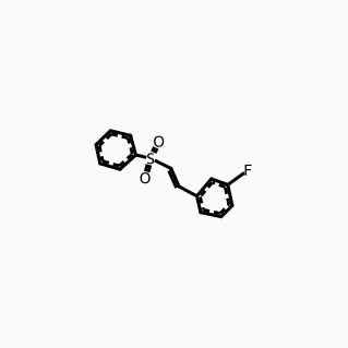 O=S(=O)(C=Cc1cccc(F)c1)c1ccccc1